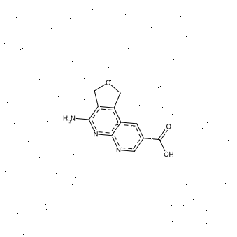 Nc1nc2ncc(C(=O)O)cc2c2c1COC2